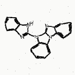 c1ccc2[nH]c(-n3c4ccccc4n4c5ccccc5nc34)nc2c1